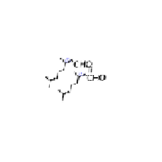 CC(C)=CCC/C(C)=C\C=O.CC(C)=CCC/C(C)=C\C=O.[Ti]